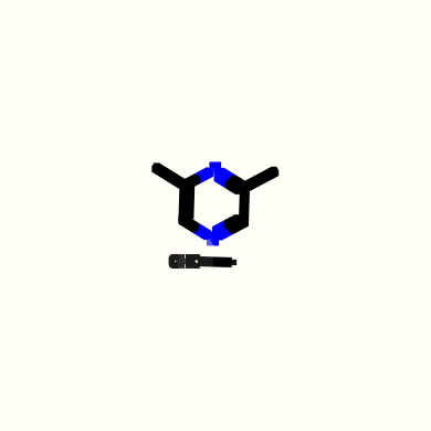 Cc1cncc(C)n1.[CH2]C=O